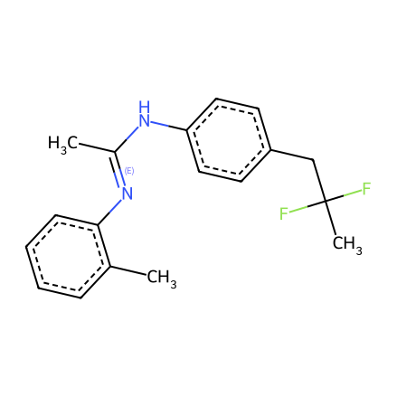 C/C(=N\c1ccccc1C)Nc1ccc(CC(C)(F)F)cc1